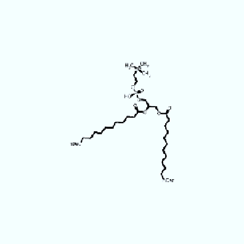 CCCCCCCCCCCCCCCCCCCCC(=O)OCC(COP(=O)(O)OCC[N+](C)(C)C)OC(=O)CCCCCCCCCCCCCCCCCCCC